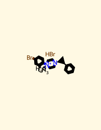 Br.Cc1cc(Br)ccc1[N+]1(C)CCN([C@@H]2C[C@H]2c2ccccc2)CC1